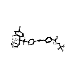 O=C(NCC(F)(F)F)c1ccc(C#Cc2ccc(C(F)(F)C(O)(Cn3cnnn3)c3ccc(F)cc3F)nc2)cc1